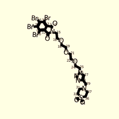 O=C1c2c(Br)c(Br)c(Br)c(Br)c2C(=O)N1CCOCCOCCOCCn1cc(CN2CCS(=O)(=O)CC2)nn1